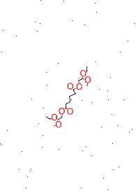 CCOC(COC(=O)CCCCC(=O)OCC(OC)OCC)OC